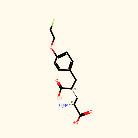 N[C@H](C[C@@H](Cc1ccc(OCCF)cc1)C(=O)O)C(=O)O